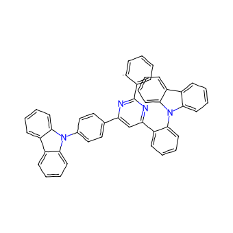 [c]1ccccc1-c1nc(-c2ccc(-n3c4ccccc4c4ccccc43)cc2)cc(-c2ccccc2-n2c3ccccc3c3ccccc32)n1